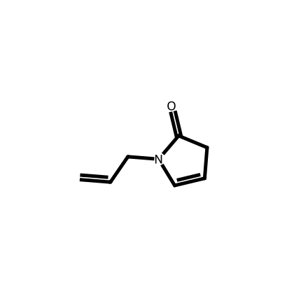 C=CCN1C=CCC1=O